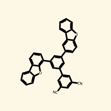 N#Cc1cc(C#N)cc(-c2cc(-c3ccc4sc5ccccc5c4c3)cc(-c3cccc4c3oc3ccccc34)c2)c1